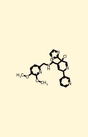 COc1ccc(CNC(=O)C2=CC(c3cccnc3)N=CC2(Cl)c2nccs2)nc1OC